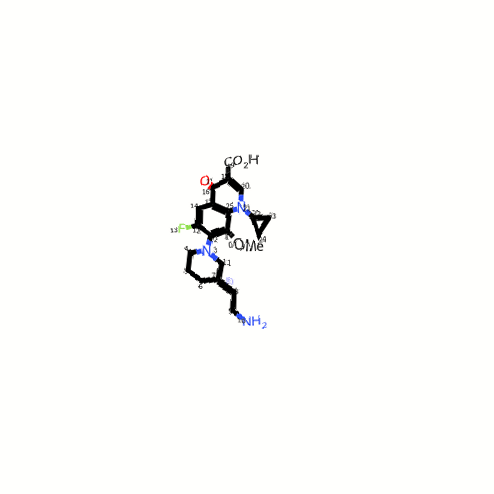 COc1c(N2CCC/C(=C\CN)C2)c(F)cc2c(=O)c(C(=O)O)cn(C3CC3)c12